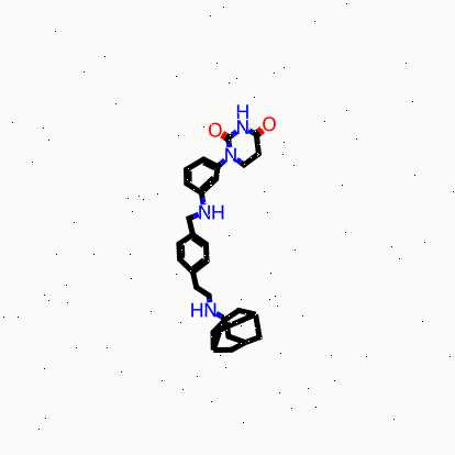 O=C1CCN(c2cccc(NCc3ccc(CCNC45CC6CC(CC(C6)C4)C5)cc3)c2)C(=O)N1